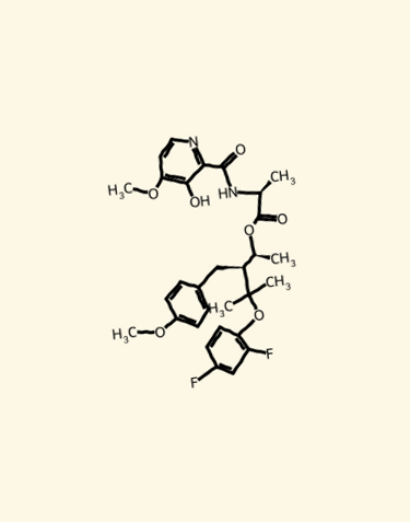 COc1ccc(C[C@@H]([C@H](C)OC(=O)[C@H](C)NC(=O)c2nccc(OC)c2O)C(C)(C)Oc2ccc(F)cc2F)cc1